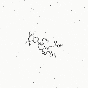 COC(=O)[C@H](CCC(=O)O)N1C[C@@H](C)N(c2ccc(C(F)(F)F)c(C(F)(F)F)c2)CCC1=O